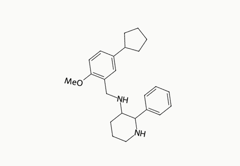 COc1ccc(C2CCCC2)cc1CNC1CCCNC1c1ccccc1